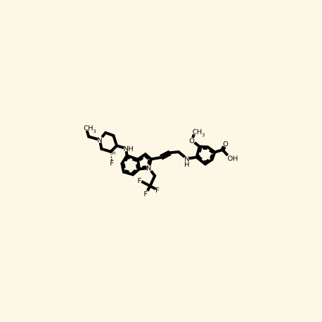 CCN1CCC(Nc2cccc3c2cc(C#CCNc2ccc(C(=O)O)cc2OC)n3CC(F)(F)F)[C@H](F)C1